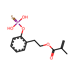 C=C(C)C(=O)OCCc1ccccc1OP(O)(O)=S